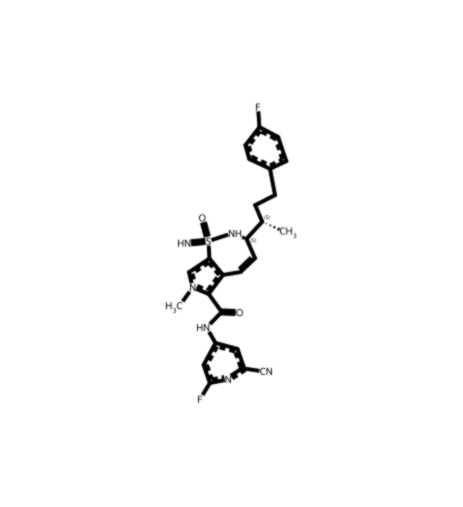 C[C@@H](CCc1ccc(F)cc1)[C@H]1C=Cc2c(cn(C)c2C(=O)Nc2cc(F)nc(C#N)c2)S(=N)(=O)N1